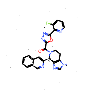 O=C(c1nnc(-c2ncccc2F)o1)N1CCc2[nH]cnc2[C@H]1c1cc2ccccc2cn1